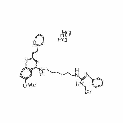 COc1ccc2nc(C=Cc3ccccn3)nc(NCCCCCCNC(=Nc3ccccc3)NCC(C)C)c2c1.Cl.Cl.Cl